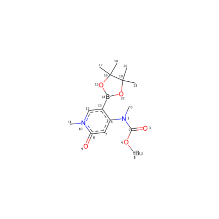 CN(C(=O)OC(C)(C)C)c1cc(=O)n(C)cc1B1OC(C)(C)C(C)(C)O1